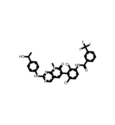 CC(O)c1ccc(Nc2ncc3cc(-c4c(Cl)ccc(NC(=O)c5cccc(C(F)(F)F)c5)c4Cl)c(=O)n(C)c3n2)cc1